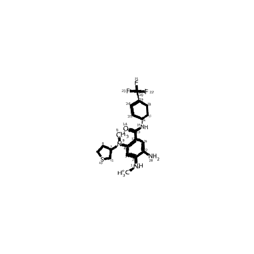 CNc1cc(N(C)C2CCSC2)c(C(=O)N[C@H]2CC[C@H](C(F)(F)F)CC2)cc1N